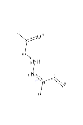 C=C/C(C)=N\NCC(C)=O